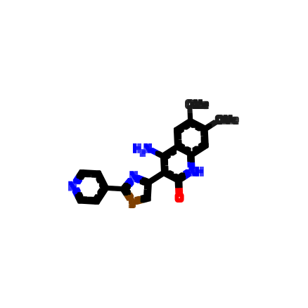 COc1cc2[nH]c(=O)c(-c3csc(-c4ccncc4)n3)c(N)c2cc1OC